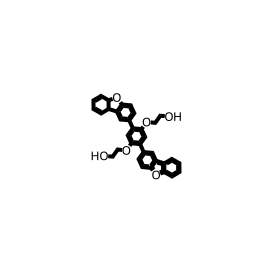 OCCOc1cc(-c2ccc3oc4ccccc4c3c2)c(OCCO)cc1-c1ccc2c(c1)C1C=CC=CC1O2